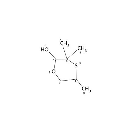 CC1COC(O)C(C)(C)S1